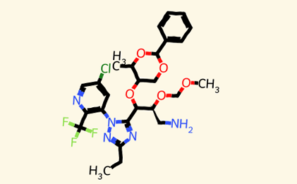 CCc1nc(C(OC2COC(c3ccccc3)OC2C)[C@H](CN)OCOC)n(-c2cc(Cl)cnc2C(F)(F)F)n1